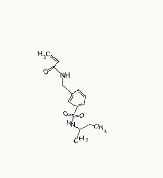 C=CC(=O)NCc1cccc(S(=O)(=O)NC(C)CC)c1